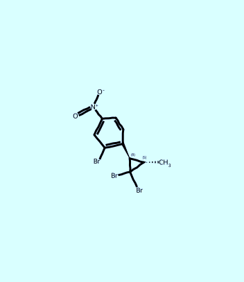 C[C@H]1[C@H](c2ccc([N+](=O)[O-])cc2Br)C1(Br)Br